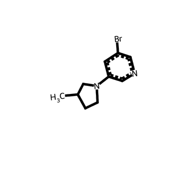 CC1CCN(c2cncc(Br)c2)C1